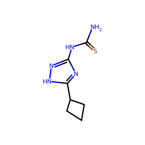 NC(=S)Nc1n[nH]c(C2CCC2)n1